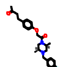 CC(=O)CCc1ccc(OCC(=O)N2C[C@@H](C)N(Cc3ccc(F)cc3)C[C@@H]2C)cc1